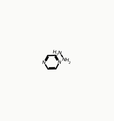 NN.c1cnccn1